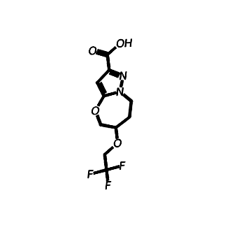 O=C(O)c1cc2n(n1)CCC(OCC(F)(F)F)CO2